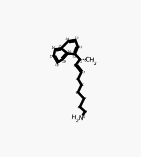 C[C@H](/C=C/CCCCCCN)c1cccc2ccccc12